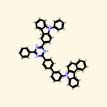 c1ccc(-c2nc(-c3ccc(-c4cccc(-n5c6ccccc6c6c7ccccc7ccc65)c4)cc3)nc(-c3ccc4c(c3)c3ccccc3n4-c3ccccc3)n2)cc1